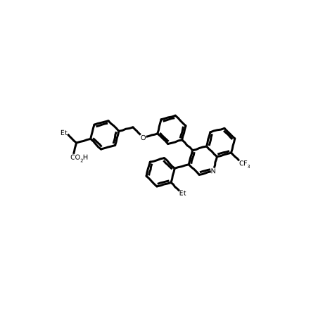 CCc1ccccc1-c1cnc2c(C(F)(F)F)cccc2c1-c1cccc(OCc2ccc(C(CC)C(=O)O)cc2)c1